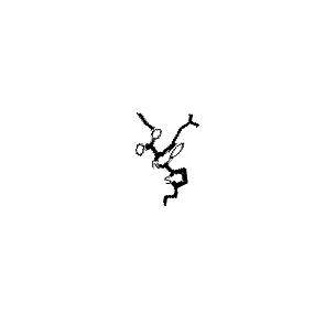 CCCc1ccc(-c2nc(C(=O)OCC)c(CC(C)C)o2)s1